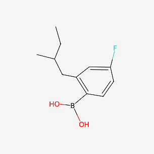 CCC(C)Cc1cc(F)ccc1B(O)O